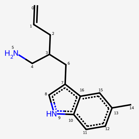 C=CCC(CN)Cc1c[nH]c2ccc(C)cc12